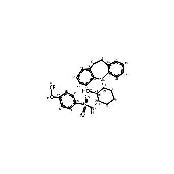 O=S(=O)(N[C@H]1CCC[C@@H](N2c3ccccc3CCc3ccccc32)[C@@H]1O)c1ccc(OC(F)(F)F)cc1